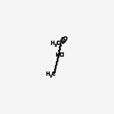 CCCCCCCCCCCCCCCCC(C)N1CCOCC1.Cl